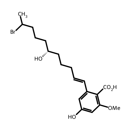 COc1cc(O)cc(/C=C/CCC[C@H](O)CCCC(C)Br)c1C(=O)O